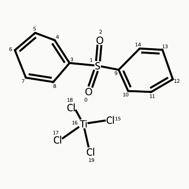 O=S(=O)(c1ccccc1)c1ccccc1.[Cl][Ti]([Cl])([Cl])[Cl]